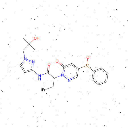 CC(C)CC(C(=O)Nc1ccn(CC(C)(C)O)n1)n1ncc([S+]([O-])c2ccccc2)cc1=O